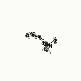 CC(C)[C@H](NC(=O)CCCCCN1C(=O)C=CC1=O)C(=O)N[C@@H](CCCNC(N)=O)C(=O)Nc1ccc(COC(=O)CNC(=O)CNC(=O)COc2ccc3nc4n(c(=O)c3c2)CCC4)cc1